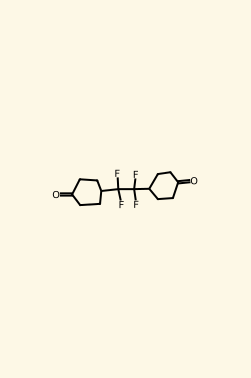 O=C1CCC(C(F)(F)C(F)(F)C2CCC(=O)CC2)CC1